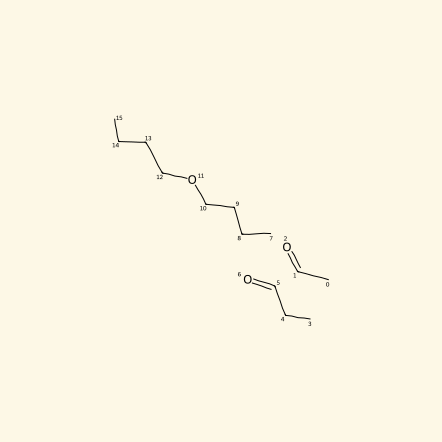 CC=O.CCC=O.CCCCOCCCC